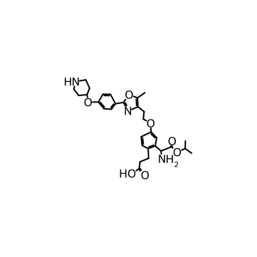 Cc1oc(-c2ccc(OC3CCNCC3)cc2)nc1CCOc1ccc(CCC(=O)O)c(C(N)C(=O)OC(C)C)c1